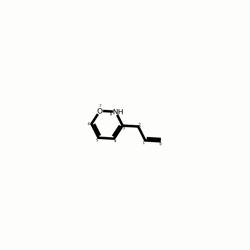 C=C[CH]C1=CC=CON1